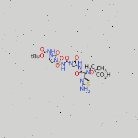 CC(C)(C)OC(=O)NN1CCN(S(=O)(=O)NC(=O)N2CC(NC(=O)C(=NOC(C)(C)C(=O)O)c3csc(N)n3)C2=O)C1=O